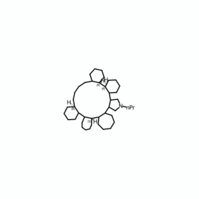 CCCN1CC2C3CCCCCC3[C@H]3CCCCCC3C3CCCC[C@H]3CCCCC3CCCC[C@H]3[C@H]3CCCCC3C2C1